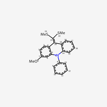 COc1ccc2c(c1)N(c1ccccc1)c1ccccc1C2=C(SC)SC